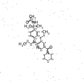 CCCc1cc(C(=O)N2CCCCC2)cnc1N(CCC)c1ccc(C(C)(C)NC(C)=O)cc1